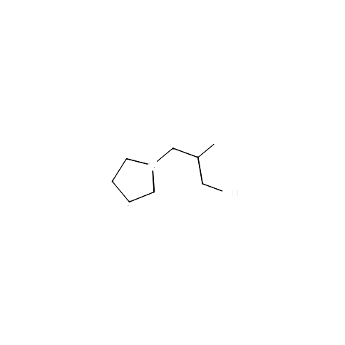 CC(CO)CN1CCCC1